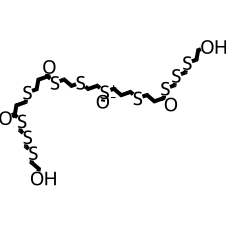 O=C(CCSCCC(=O)SCSCSCCO)SCCSCC[S+]([O-])CCCSCCC(=O)SCSCSCCO